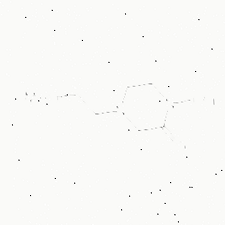 COCCN1CCN(C(C)(C)C)C(=O)C1